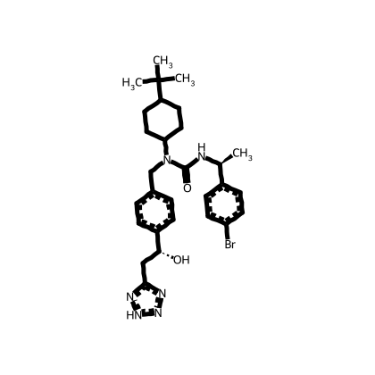 C[C@H](NC(=O)N(Cc1ccc([C@H](O)Cc2nn[nH]n2)cc1)C1CCC(C(C)(C)C)CC1)c1ccc(Br)cc1